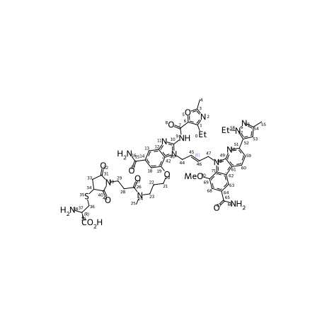 CCc1nc(C)oc1C(=O)Nc1nc2cc(C(N)=O)cc(OCCCN(C)C(=O)CCN3C(=O)CC(SC[C@H](N)C(=O)O)C3=O)c2n1C/C=C/Cn1c2nc(-c3cc(C)nn3CC)ccc2c2cc(C(N)=O)cc(OC)c21